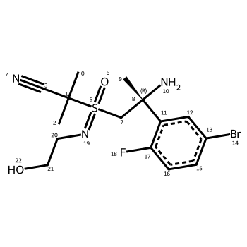 CC(C)(C#N)S(=O)(C[C@](C)(N)c1cc(Br)ccc1F)=NCCO